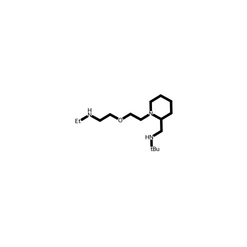 CCNCCOCCN1CCCCC1CNC(C)(C)C